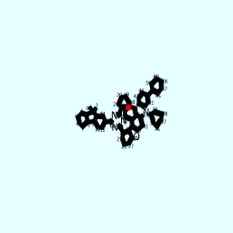 CC1(C)c2ccccc2-c2ccc(-c3nc(-c4ccccc4)nc(-c4cccc5oc6cc(N(c7ccccc7)c7cccc(-c8ccccc8)c7)c7ccccc7c6c45)n3)cc21